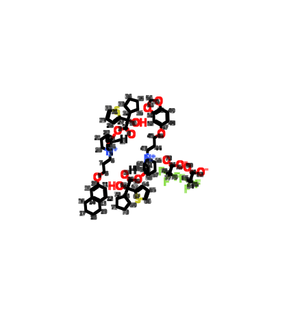 O=C(O[C@H]1C[N+]2(CCCOc3ccc4c(c3)CCCC4)CCC1CC2)[C@](O)(c1cccs1)C1CCCC1.O=C(O[C@H]1C[N+]2(CCCOc3ccc4c(c3)OCO4)CCC1CC2)[C@](O)(c1cccs1)C1CCCC1.O=C([O-])C(F)(F)F.O=C([O-])C(F)(F)F